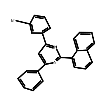 Brc1cccc(-c2cc(-c3ccccc3)nc(-c3cccc4ccccc34)n2)c1